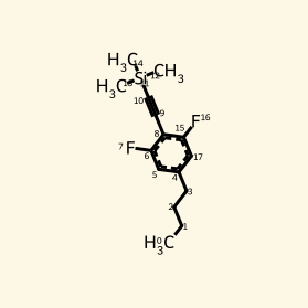 CCCCc1cc(F)c(C#C[Si](C)(C)C)c(F)c1